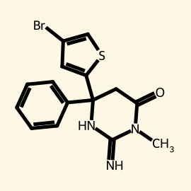 CN1C(=N)NC(c2ccccc2)(c2cc(Br)cs2)CC1=O